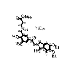 CCOc1cc2c(c(F)c1OCC)C(=N)N(CC(=O)c1cc(CNCCC(=O)OC)c(O)c(C(C)(C)C)c1)C2.Cl